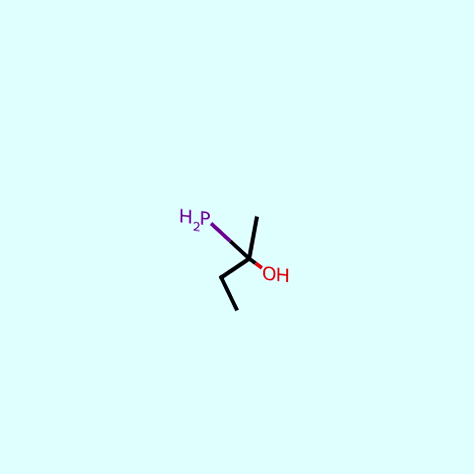 CCC(C)(O)P